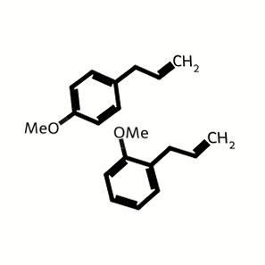 C=CCc1ccc(OC)cc1.C=CCc1ccccc1OC